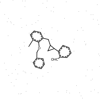 Cc1cccc(CC2CC2c2ccccc2C=O)c1OCc1ccccc1